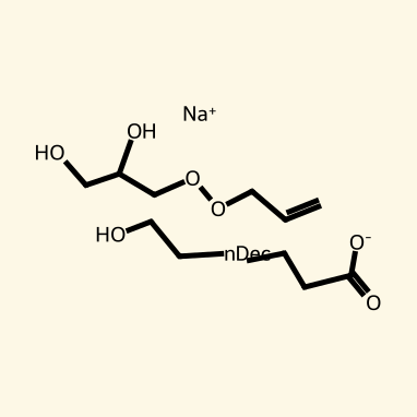 C=CCOOCC(O)CO.CCCC(=O)[O-].CCCCCCCCCCCCO.[Na+]